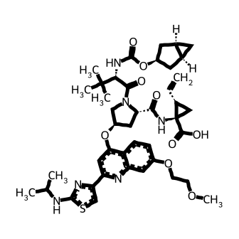 C=C[C@@H]1C[C@]1(NC(=O)[C@@H]1C[C@@H](Oc2cc(-c3csc(NC(C)C)n3)nc3cc(OCCOC)ccc23)CN1C(=O)[C@@H](NC(=O)O[C@@H]1C[C@@H]2C[C@@H]2C1)C(C)(C)C)C(=O)O